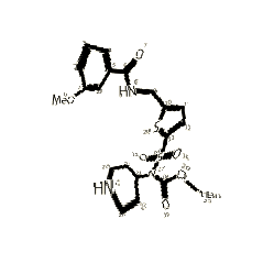 COc1cccc(C(=O)NCc2ccc(S(=O)(=O)N(C(=O)OC(C)(C)C)C3CCNCC3)s2)c1